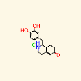 O=C1C=C2CCNC(Cc3cc(O)c(O)cc3Cl)C2CC1